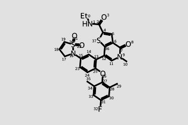 CCNC(=O)c1cc2c(=O)n(C)cc(-c3cc(N4CC=CS4(=O)=O)ccc3Oc3c(C)cc(F)cc3C)c2s1